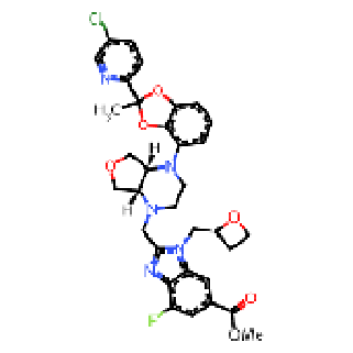 COC(=O)c1cc(F)c2nc(CN3CCN(c4cccc5c4OC(C)(c4ccc(Cl)cn4)O5)[C@H]4COC[C@H]43)n(C[C@@H]3CCO3)c2c1